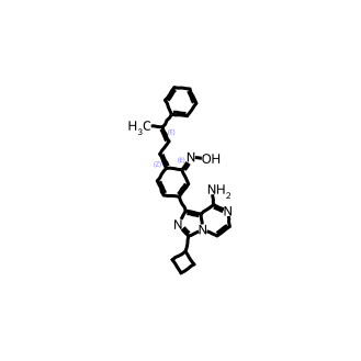 C\C(=C/C=C1/C=CC(c2nc(C3CCC3)n3ccnc(N)c23)=C/C1=N\O)c1ccccc1